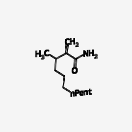 C=C(C(N)=O)C(C)CCCCCCCC